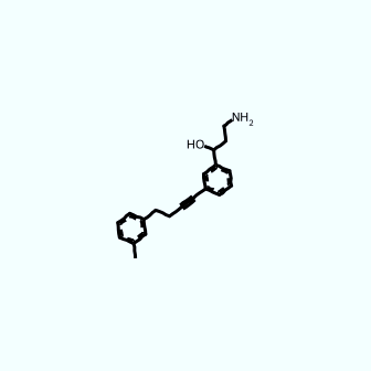 Cc1cccc(CCC#Cc2cccc(C(O)CCN)c2)c1